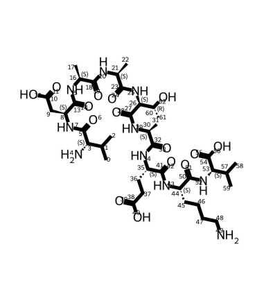 CC(C)[C@H](N)C(=O)N[C@@H](CC(=O)O)C(=O)N[C@@H](C)C(=O)N[C@@H](C)C(=O)N[C@H](C(=O)N[C@@H](C)C(=O)N[C@@H](CCC(=O)O)C(=O)N[C@@H](CCCCN)C(=O)N[C@H](C(=O)O)C(C)C)[C@@H](C)O